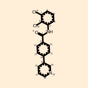 O=C(Nc1cccc(Cl)c1Cl)c1ccc(-c2cccnc2)cc1